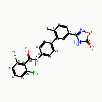 Cc1ccc(-c2noc(=O)[nH]2)cc1-c1ccc(NC(=O)c2c(F)cccc2F)cc1